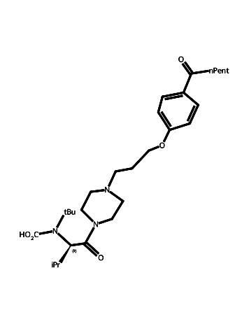 CCCCCC(=O)c1ccc(OCCCN2CCN(C(=O)[C@@H](C(C)C)N(C(=O)O)C(C)(C)C)CC2)cc1